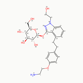 NCCOc1ccc(CCc2cccc3c2c(O[C@@H]2O[C@H](CO)[C@@H](O)[C@H](O)[C@H]2O)nn3CCO)cc1